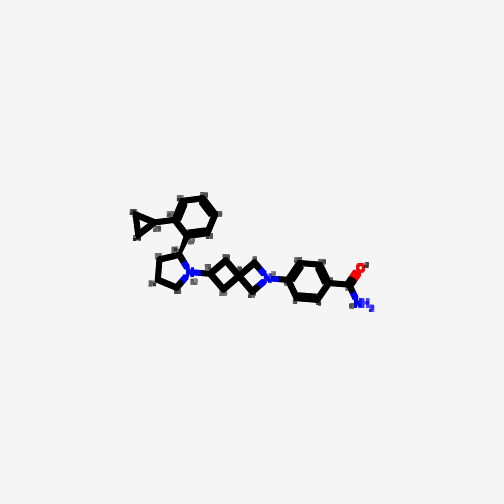 NC(=O)c1ccc(N2CC3(CC(N4CCC[C@H]4c4ccccc4C4CC4)C3)C2)cc1